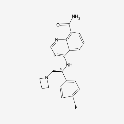 NC(=O)c1cccc2c(N[C@H](CN3CCC3)c3ccc(F)cc3)ncnc12